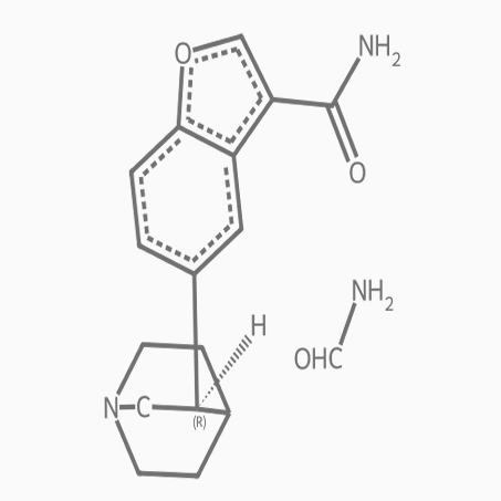 NC(=O)c1coc2ccc([C@@H]3CN4CCC3CC4)cc12.NC=O